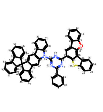 c1ccc(-c2nc(-c3cc4c5ccccc5oc4c4c3sc3ccccc34)nc(-n3c4ccccc4c4cc5c(cc43)-c3ccccc3C53c4ccccc4-c4ccccc43)n2)cc1